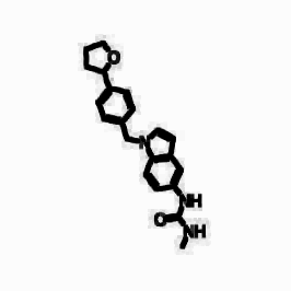 CNC(=O)Nc1ccc2c(ccn2Cc2ccc(C3CCCO3)cc2)c1